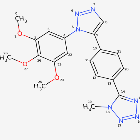 COc1cc(-n2nncc2-c2ccc(-c3nnnn3C)cc2)cc(OC)c1OC